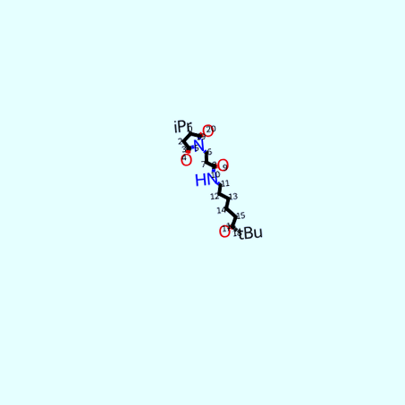 CC(C)C1CC(=O)N(CCC(=O)NCCCCCC(=O)C(C)(C)C)C1=O